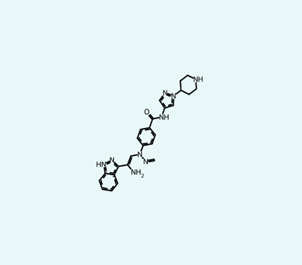 C=NN(/C=C(\N)c1n[nH]c2ccccc12)c1ccc(C(=O)Nc2cnn(C3CCNCC3)c2)cc1